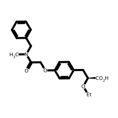 CCO[C@@H](Cc1ccc(OCC(=O)N(C)Cc2ccccc2)cc1)C(=O)O